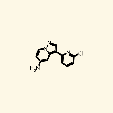 Nc1ccn2ncc(-c3cccc(Cl)n3)c2c1